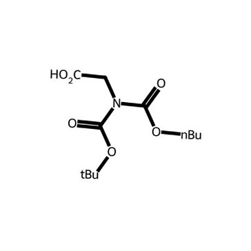 CCCCOC(=O)N(CC(=O)O)C(=O)OC(C)(C)C